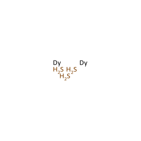 S.S.S.[Dy].[Dy]